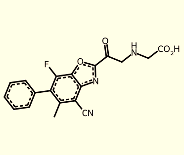 Cc1c(-c2ccccc2)c(F)c2oc(C(=O)CNCC(=O)O)nc2c1C#N